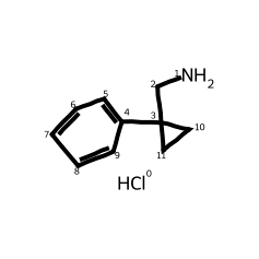 Cl.NCC1(c2ccccc2)CC1